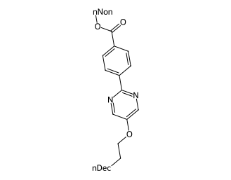 CCCCCCCCCCCCOc1cnc(-c2ccc(C(=O)OCCCCCCCCC)cc2)nc1